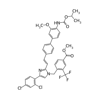 COC(=O)c1ccc(Cn2cc(-c3ccc(Cl)cc3Cl)nc2C=Cc2ccc(-c3ccc(NC(=O)OC(C)C)c(OC)c3)cc2)c(C(F)(F)F)c1